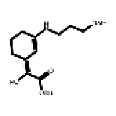 COCCCNC1=C/C(=C(/C#N)C(=O)OCC(C)C)CCC1